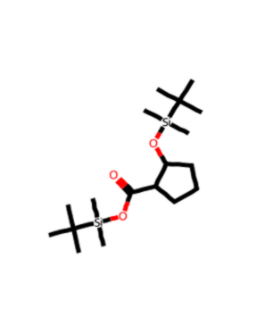 CC(C)(C)[Si](C)(C)OC(=O)C1CCCC1O[Si](C)(C)C(C)(C)C